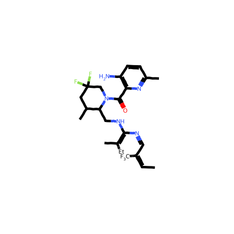 C\C=C(/C=N\C(NCC1C(C)CC(F)(F)CN1C(=O)c1nc(C)ccc1N)=C(\C)CC)C(F)(F)F